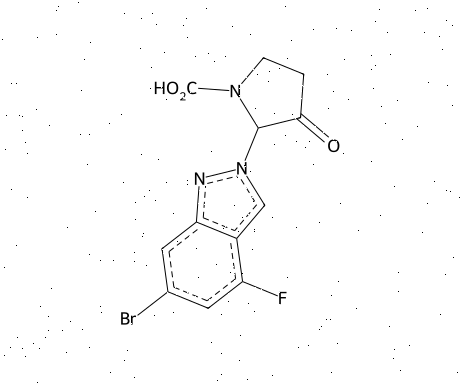 O=C1CCN(C(=O)O)C1n1cc2c(F)cc(Br)cc2n1